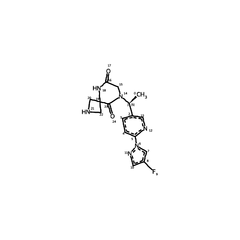 C[C@@H](c1ccc(-n2cc(F)cn2)nc1)N1CC(=O)NC2(CNC2)C1=O